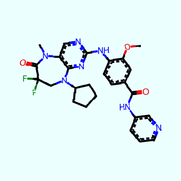 COc1cc(C(=O)Nc2cccnc2)ccc1Nc1ncc2c(n1)N(C1CCCC1)CC(F)(F)C(=O)N2C